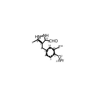 CCCOc1ccc(CC2=C(C)NNC2C=O)cc1F